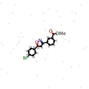 COC(=O)c1cccc(-c2cc(-c3ccc(Br)cc3)on2)c1